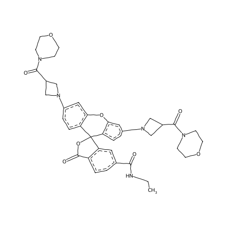 CCNC(=O)c1ccc2c(c1)C1(OC2=O)c2ccc(N3CC(C(=O)N4CCOCC4)C3)cc2Oc2cc(N3CC(C(=O)N4CCOCC4)C3)ccc21